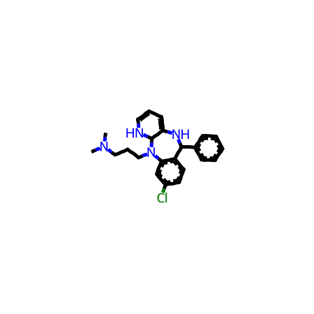 CN(C)CCCN1c2cc(Cl)ccc2C(c2ccccc2)NC2=CC=CNC21